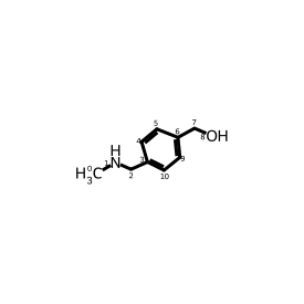 CNCc1ccc(CO)cc1